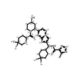 Cc1nonc1C(=O)N[C@H](c1cn2ncc([C@@H]3C[C@H](O)CCN3C(=O)[C@@H]3CCC(F)(F)CO3)nc2n1)C1CCC(F)(F)CC1